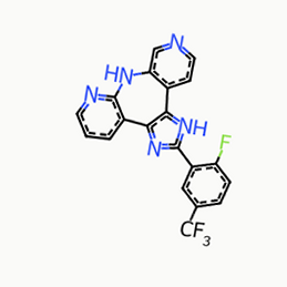 Fc1ccc(C(F)(F)F)cc1-c1nc2c([nH]1)-c1ccncc1Nc1ncccc1-2